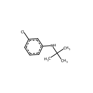 CC(C)(C)Nc1cccc(Cl)c1